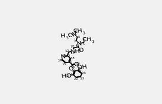 CCN(CCN(C)C)C(=O)CNCc1cc(C(=O)Oc2c(O)cccc2O)ccn1